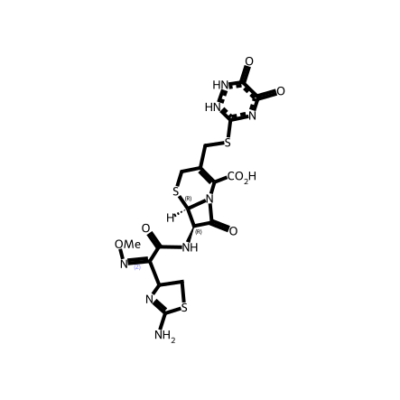 CO/N=C(\C(=O)N[C@@H]1C(=O)N2C(C(=O)O)=C(CSc3nc(=O)c(=O)[nH][nH]3)CS[C@H]12)C1CSC(N)=N1